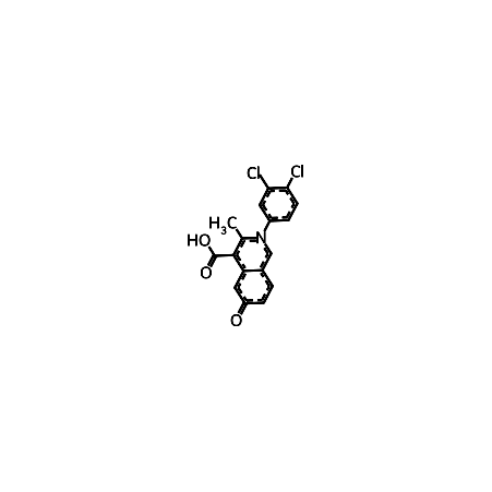 Cc1c(C(=O)O)c2cc(=O)ccc-2cn1-c1ccc(Cl)c(Cl)c1